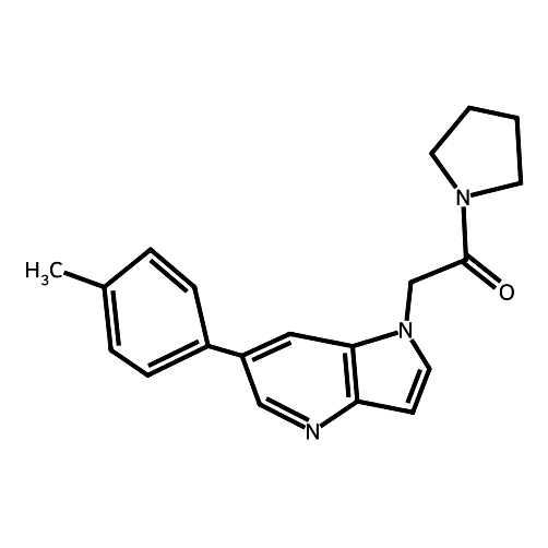 Cc1ccc(-c2cnc3ccn(CC(=O)N4CCCC4)c3c2)cc1